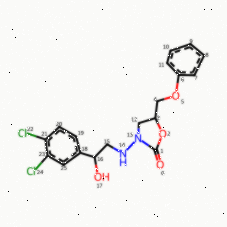 O=C1OC(COc2ccccc2)CN1NCC(O)c1ccc(Cl)c(Cl)c1